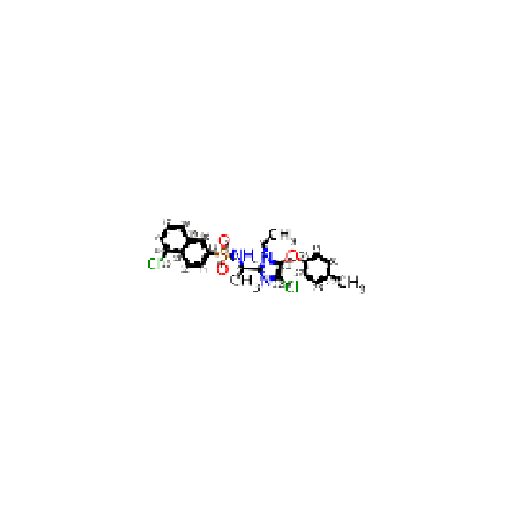 CCn1c(C(C)NS(=O)(=O)c2ccc3c(Cl)cccc3c2)nc(Cl)c1Oc1ccc(C)cc1